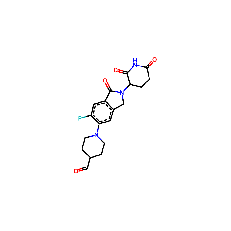 O=CC1CCN(c2cc3c(cc2F)C(=O)N(C2CCC(=O)NC2=O)C3)CC1